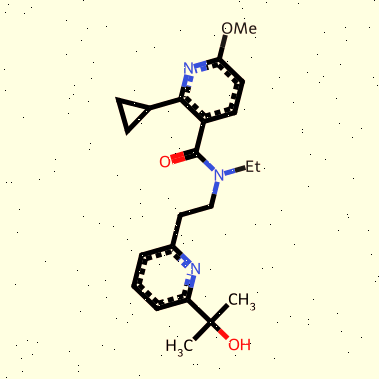 CCN(CCc1cccc(C(C)(C)O)n1)C(=O)c1ccc(OC)nc1C1CC1